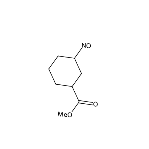 COC(=O)C1CCCC(N=O)C1